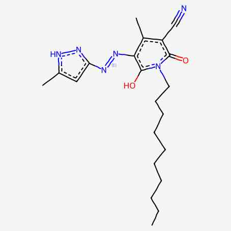 CCCCCCCCCCn1c(O)c(/N=N/c2cc(C)[nH]n2)c(C)c(C#N)c1=O